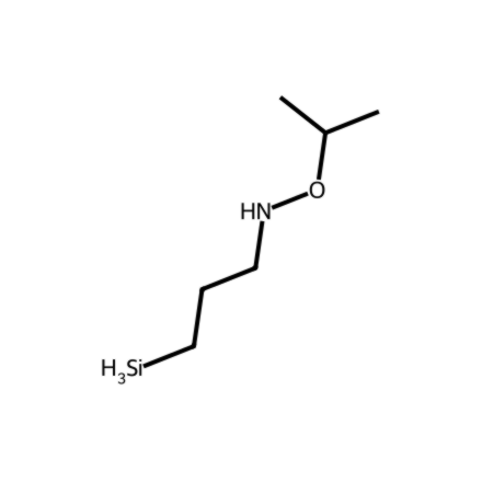 CC(C)ONCCC[SiH3]